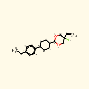 C=CC1(F)COC(C2CCC(c3ccc(CC)cc3)CC2)OC1